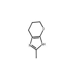 Cc1nc2c([nH]1)OCCC2